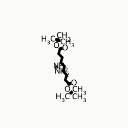 CC(C)(C)OC(=O)CCCCCCCC(=O)OC(C)(C)C.NN